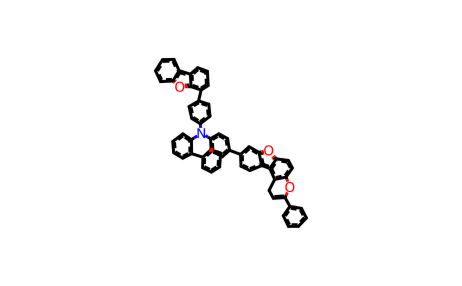 C1=C(c2ccccc2)Oc2ccc3oc4cc(-c5ccc(N(c6ccc(-c7cccc8c7oc7ccccc78)cc6)c6ccccc6-c6ccccc6)cc5)ccc4c3c2C1